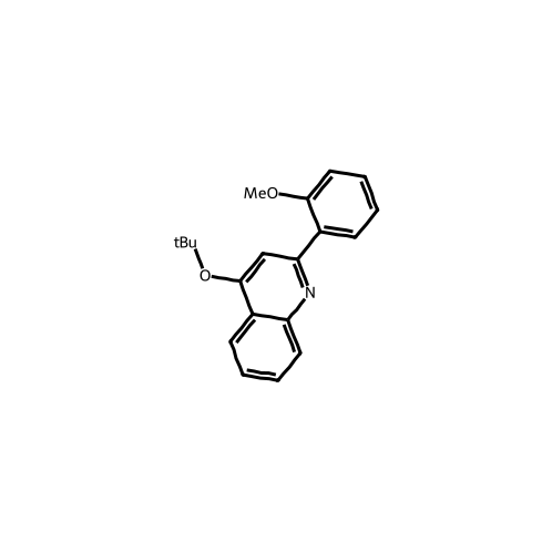 COc1ccccc1-c1cc(OC(C)(C)C)c2ccccc2n1